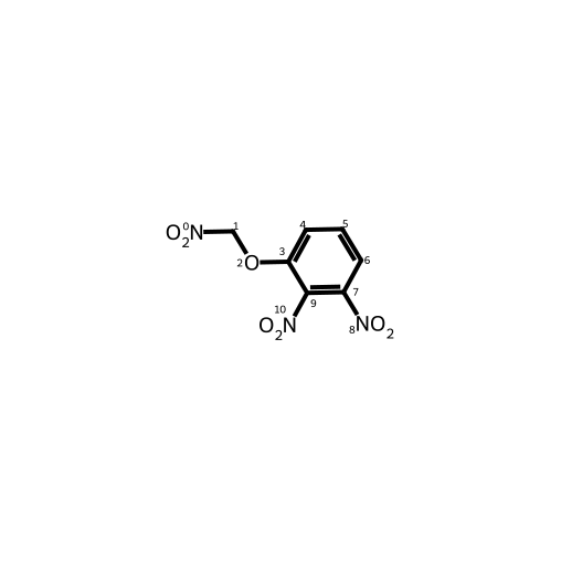 O=[N+]([O-])COc1cccc([N+](=O)[O-])c1[N+](=O)[O-]